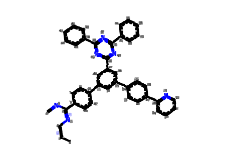 C=N/C(=N\C=C/C)c1ccc(-c2cc(-c3ccc(-c4ccccn4)cc3)cc(-c3nc(-c4ccccc4)nc(-c4ccccc4)n3)c2)cc1